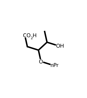 CCCOC(CC(=O)O)C(C)O